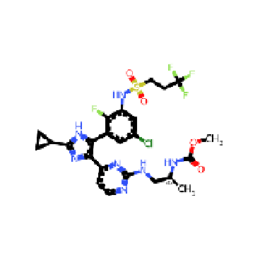 COC(=O)N[C@@H](C)CNc1nccc(-c2nc(C3CC3)[nH]c2-c2cc(Cl)cc(NS(=O)(=O)CCC(F)(F)F)c2F)n1